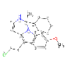 COc1ccc2c(CCCl)c3n(c2c1)C(C)(C1CCCCC1)NC=C3